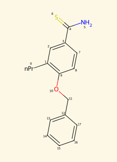 CCCc1cc(C(N)=S)ccc1OCc1ccccc1